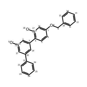 [O-][n+]1[c]c(-c2ccc(OCc3ccccc3)c[n+]2[O-])cc(-c2ccccc2)c1